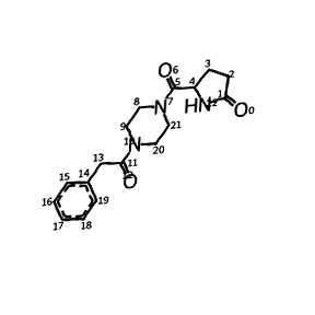 O=C1CCC(C(=O)N2CCN(C(=O)Cc3ccccc3)CC2)N1